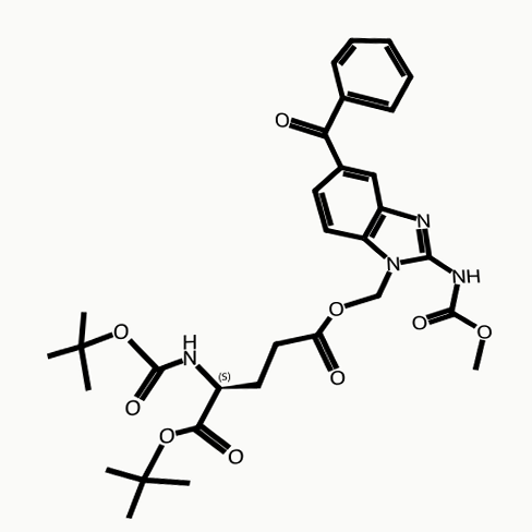 COC(=O)Nc1nc2cc(C(=O)c3ccccc3)ccc2n1COC(=O)CC[C@H](NC(=O)OC(C)(C)C)C(=O)OC(C)(C)C